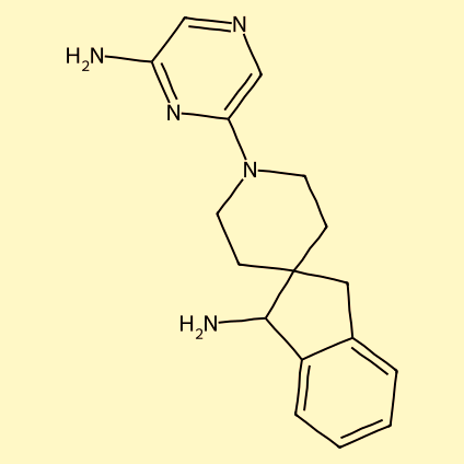 Nc1cncc(N2CCC3(CC2)Cc2ccccc2C3N)n1